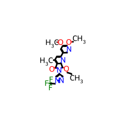 CCCOC1c2nc(-c3cnc(OCC)c(OC)c3)cc(C)c2C(=O)N1c1cnn(CC(F)(F)F)c1